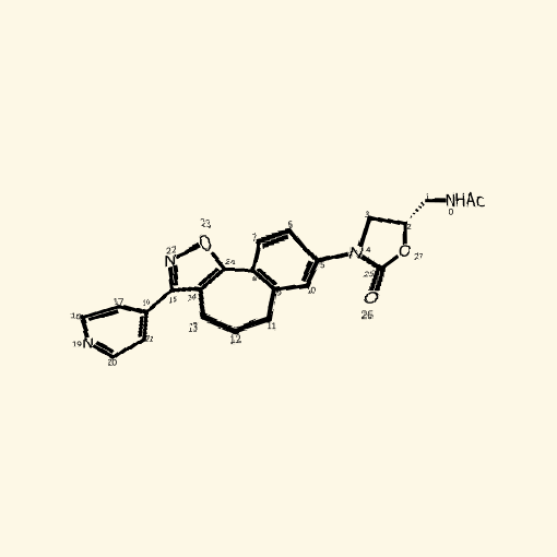 CC(=O)NC[C@H]1CN(c2ccc3c(c2)CCCc2c(-c4ccncc4)noc2-3)C(=O)O1